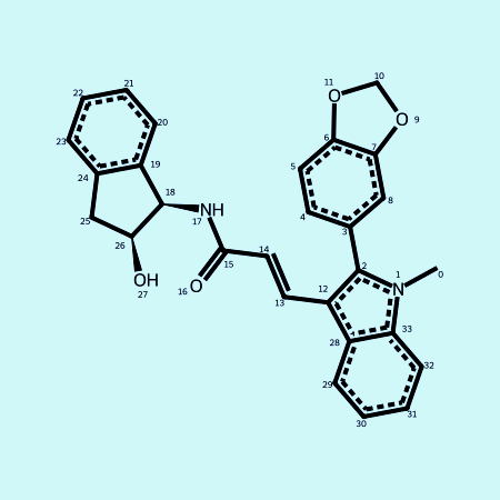 Cn1c(-c2ccc3c(c2)OCO3)c(/C=C/C(=O)N[C@@H]2c3ccccc3C[C@@H]2O)c2ccccc21